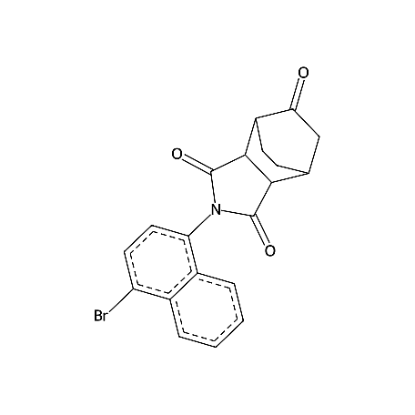 O=C1CC2CCC1C1C(=O)N(c3ccc(Br)c4ccccc34)C(=O)C21